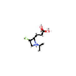 CC(C)N1CC(F)C1CCC(=O)O